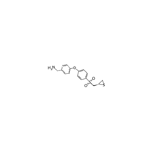 NCc1ccc(Oc2ccc(S(=O)(=O)C[C@H]3CS3)cc2)cc1